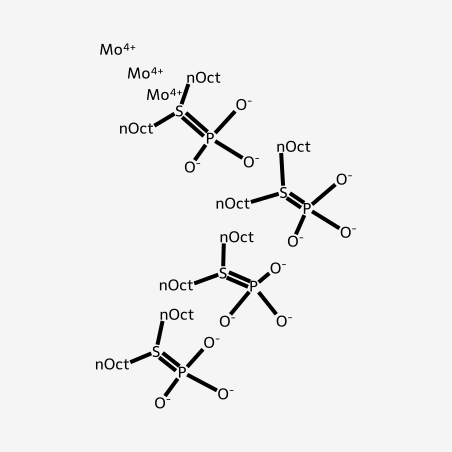 CCCCCCCCS(CCCCCCCC)=P([O-])([O-])[O-].CCCCCCCCS(CCCCCCCC)=P([O-])([O-])[O-].CCCCCCCCS(CCCCCCCC)=P([O-])([O-])[O-].CCCCCCCCS(CCCCCCCC)=P([O-])([O-])[O-].[Mo+4].[Mo+4].[Mo+4]